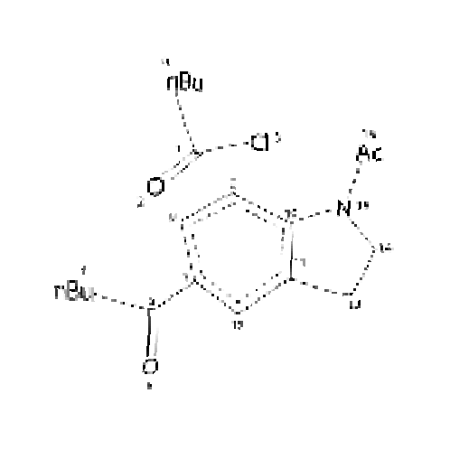 CCCCC(=O)Cl.CCCCC(=O)c1ccc2c(c1)CCN2C(C)=O